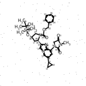 CN1C(=O)CN(c2cc(C3CC3)cn3cc([C@H]4C[C@H](O[Si](C)(C)C(C)(C)C)CN4C(=O)OCc4ccccc4)nc23)C1=O